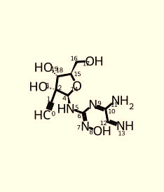 C#C[C@]1(O)[C@H](NC(=N/O)/N=C(/N)C=N)O[C@H](CO)[C@H]1O